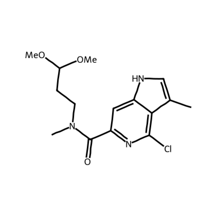 COC(CCN(C)C(=O)c1cc2[nH]cc(C)c2c(Cl)n1)OC